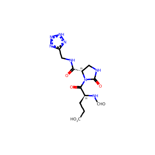 O=CN[C@@H](CCC(=O)O)C(=O)N1C(=O)NC[C@H]1C(=O)NCc1nn[nH]n1